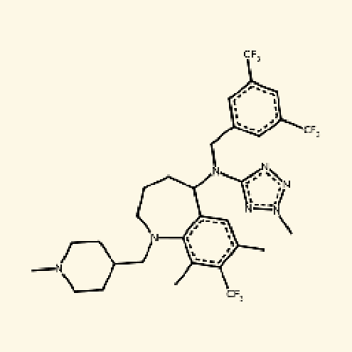 Cc1cc2c(c(C)c1C(F)(F)F)N(CC1CCN(C)CC1)CCCC2N(Cc1cc(C(F)(F)F)cc(C(F)(F)F)c1)c1nnn(C)n1